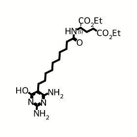 CCOC(=O)CC[C@H](NC(=O)CCCCCCCCCc1c(N)nc(N)nc1O)C(=O)OCC